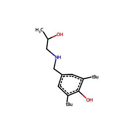 CC(O)CNCc1cc(C(C)(C)C)c(O)c(C(C)(C)C)c1